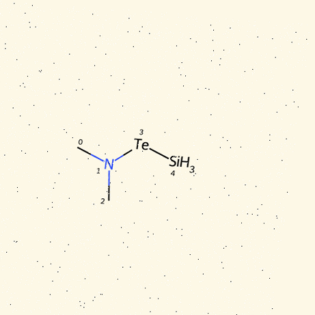 CN(C)[Te][SiH3]